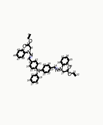 C=COC(=O)CN(/N=C/c1ccc(N(c2ccccc2)c2ccc(/C=N/N(CC(=O)OC=C)c3ccccc3)cc2)cc1)c1ccccc1